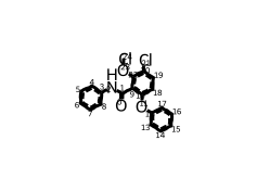 O=C(Nc1ccccc1)c1c(Oc2ccccc2)ccc(Cl)c1OCl